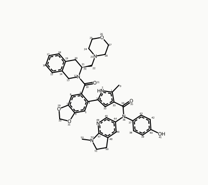 Cc1[nH]c(-c2cc3c(cc2C(=O)N2Cc4ccccc4C[C@H]2CN2CCOCC2)OCO3)cc1C(=O)N(c1ccc(O)cc1)c1cnc2c(c1)CCN2C